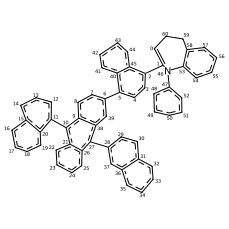 C1=C(c2ccc(-c3ccc4c(-c5cccc6ccccc56)c5ccccc5c(-c5ccc6ccccc6c5)c4c3)c3ccccc23)N(c2ccccc2)c2ccccc2CC1